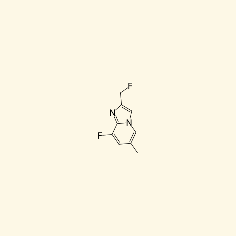 Cc1cc(F)c2nc(CF)cn2c1